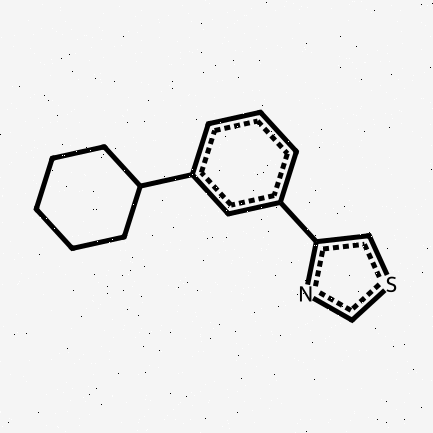 c1cc(-c2cscn2)cc(C2CCCCC2)c1